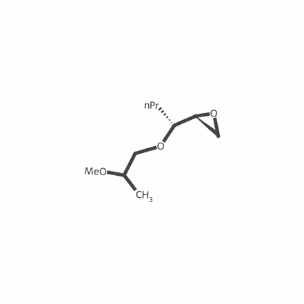 CCC[C@@H](OCC(C)OC)[C@@H]1CO1